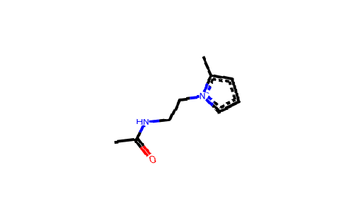 CC(=O)NCCn1cccc1C